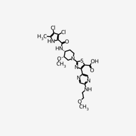 COCCNc1cnc(-c2nc(N3CC[C@@H](NC(=O)c4[nH]c(C)c(Cl)c4Cl)[C@@H](OC)C3)sc2C(=O)O)cn1